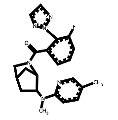 Cc1ccc(N(C)C2CC3CC2N(C(=O)c2cccc(F)c2-n2nccn2)C3)nc1